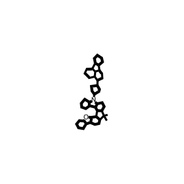 CC1(C)c2ccc3c(oc4ccccc43)c2-c2c1ccc1c2c2ccccc2n1-c1ccc(C2=CC=C3c4ccccc4C4=CC=CC2C43)cc1